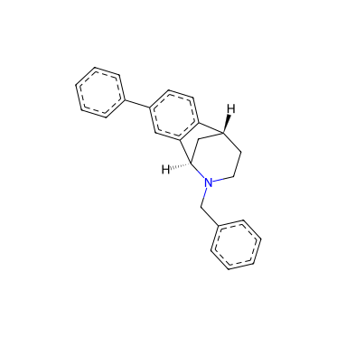 c1ccc(CN2CC[C@@H]3C[C@@H]2c2cc(-c4ccccc4)ccc23)cc1